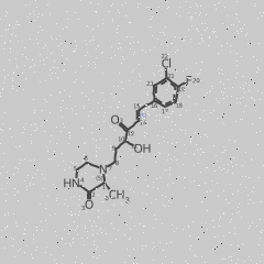 C[C@H]1C(=O)NCCN1CCC(O)C(=O)/C=C/c1ccc(F)c(Cl)c1